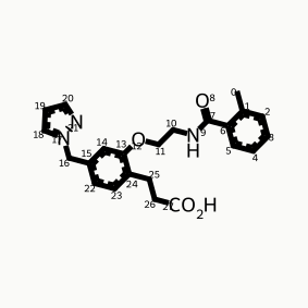 Cc1ccccc1C(=O)NCCOc1cc(Cn2cccn2)ccc1CCC(=O)O